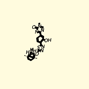 Cn1cnc(-c2ccc(-c3nnc(O[C@@H]4[C@@H](F)[C@@]5(C)CC[C@]4(C)CN5)s3)c(O)c2)nc1=O